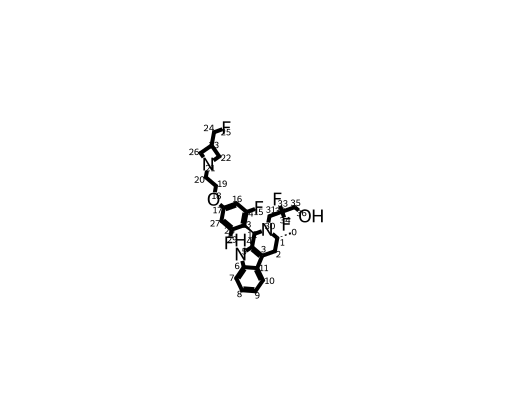 C[C@@H]1Cc2c([nH]c3ccccc23)[C@@H](c2c(F)cc(OCCN3CC(CF)C3)cc2F)N1CC(F)(F)CO